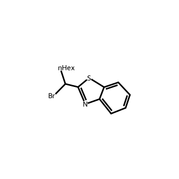 CCCCCCC(Br)c1nc2ccccc2s1